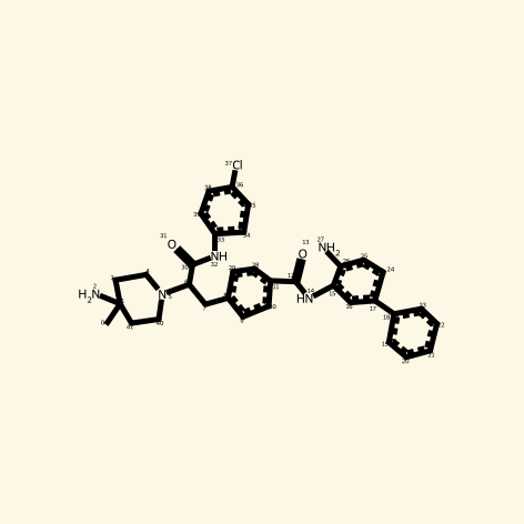 CC1(N)CCN(C(Cc2ccc(C(=O)Nc3cc(-c4ccccc4)ccc3N)cc2)C(=O)Nc2ccc(Cl)cc2)CC1